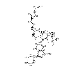 OB(O)C(CC(F)(F)F)=C(c1ccc(OCCN2CC(CF)C2)nc1)c1ccc2c(c1)c(F)nn2C1CCCCO1